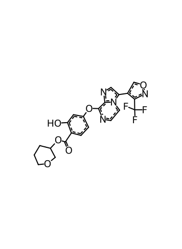 O=C(OC1CCCOC1)c1ccc(Oc2nccn3c(-c4conc4C(F)(F)F)cnc23)cc1O